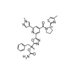 Cc1csc([C@H]2CCCN2C(=O)c2cc(-c3cnn(C)c3)nc(-c3nnc([C@@](C)(Cc4ccccc4)OC(N)=O)o3)c2)n1